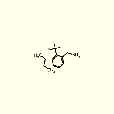 CCCC.NCc1ccccc1C(F)(F)F